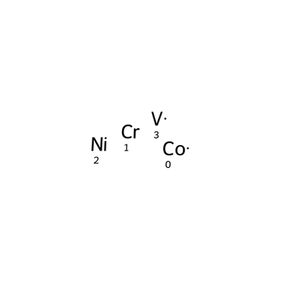 [Co].[Cr].[Ni].[V]